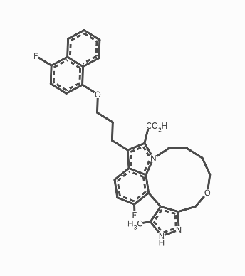 Cc1[nH]nc2c1-c1c(F)ccc3c(CCCOc4ccc(F)c5ccccc45)c(C(=O)O)n(c13)CCCCOC2